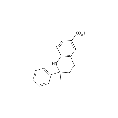 CC1(c2ccccc2)CCc2cc(C(=O)O)cnc2N1